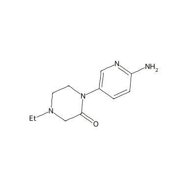 CCN1CCN(c2ccc(N)nc2)C(=O)C1